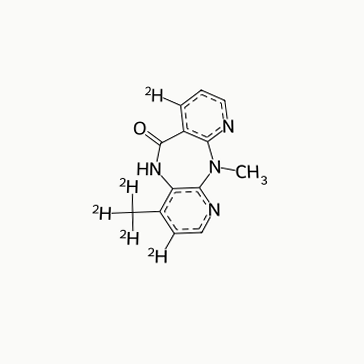 [2H]c1ccnc2c1C(=O)Nc1c(ncc([2H])c1C([2H])([2H])[2H])N2C